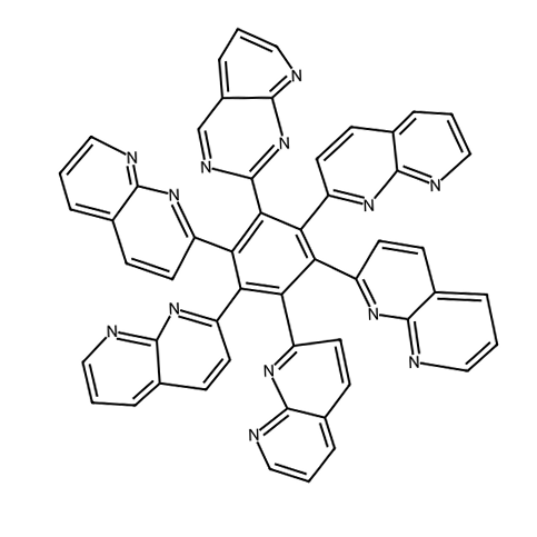 c1cnc2nc(-c3c(-c4ccc5cccnc5n4)c(-c4ccc5cccnc5n4)c(-c4ncc5cccnc5n4)c(-c4ccc5cccnc5n4)c3-c3ccc4cccnc4n3)ccc2c1